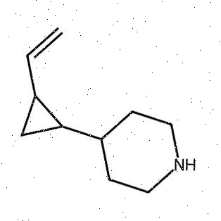 C=CC1CC1C1CCNCC1